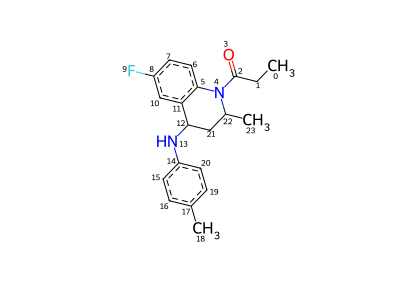 CCC(=O)N1c2ccc(F)cc2C(Nc2ccc(C)cc2)CC1C